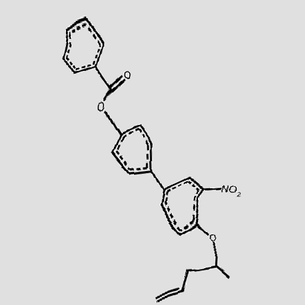 C=CCC(C)Oc1ccc(-c2ccc(OC(=O)c3ccccc3)cc2)cc1[N+](=O)[O-]